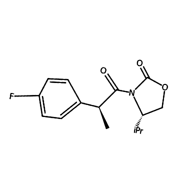 CC(C)[C@H]1COC(=O)N1C(=O)[C@@H](C)c1ccc(F)cc1